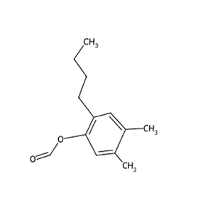 CCCCc1cc(C)c(C)cc1OC=O